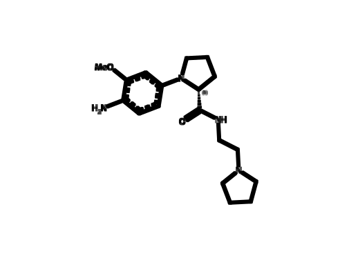 COc1cc(N2CCC[C@@H]2C(=O)NCCN2CCCC2)ccc1N